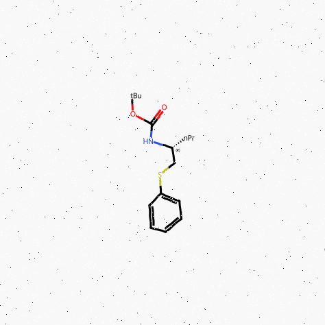 CCC[C@H](CSc1ccccc1)NC(=O)OC(C)(C)C